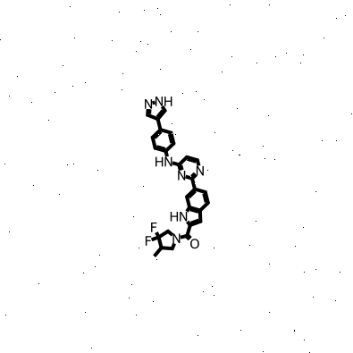 CC1CN(C(=O)c2cc3ccc(-c4nccc(Nc5ccc(-c6cn[nH]c6)cc5)n4)cc3[nH]2)CC1(F)F